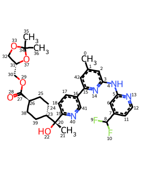 Cc1cc(Nc2cc(C(F)F)ccn2)nc(-c2ccc([C@](C)(O)[C@H]3CC[C@H](C(=O)OC[C@@H]4COC(C)(C)O4)CC3)nc2)c1